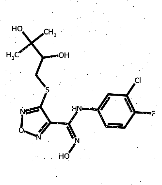 CC(C)(O)C(O)CSc1nonc1/C(=N\O)Nc1ccc(F)c(Cl)c1